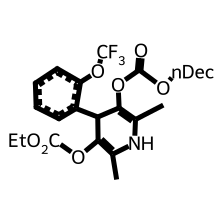 CCCCCCCCCCOC(=O)OC1=C(C)NC(C)=C(OC(=O)OCC)C1c1ccccc1OC(F)(F)F